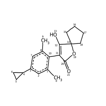 Cc1cc(C2CC2)cc(C)c1C1=C(O)C2(CCCC2)OC1=O